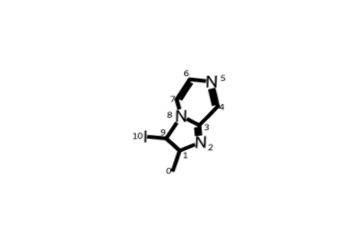 CC1N=C2C=NC=CN2C1I